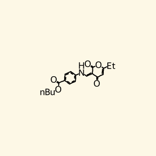 CCCCOC(=O)c1ccc(NC=C2C(=O)C=C(CC)OC2=O)cc1